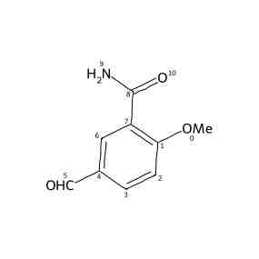 COc1ccc(C=O)cc1C(N)=O